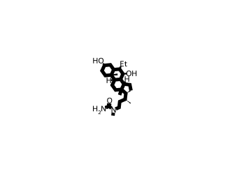 CC[C@@H]1C2C[C@H](O)CC[C@@]2(C)[C@H]2CCC3(C)[C@@H]([C@H](C)CCN(C)C(N)=O)CC[C@H]3C2[C@@H]1O